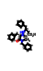 CCN(N[C@H](CC(=O)O)Cc1ccccc1)[C@@H](Cc1ccccc1)C(=O)N(C)Cc1ccccc1